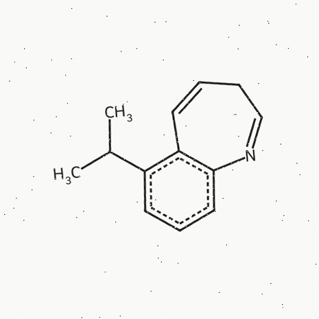 CC(C)c1cccc2c1C=CCC=N2